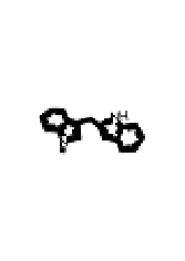 Cn1cc(Cc2cc3ccccc3[nH]2)c2ccccc21